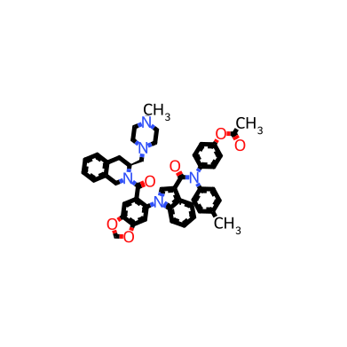 CC(=O)Oc1ccc(N(C(=O)c2cn(-c3cc4c(cc3C(=O)N3Cc5ccccc5C[C@H]3CN3CCN(C)CC3)OCO4)c3ccccc23)c2ccc(C)cc2)cc1